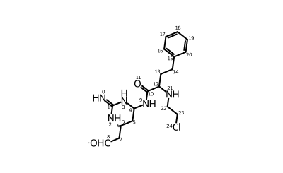 N=C(N)NC(CCC[C]=O)NC(=O)C(CCc1ccccc1)NCCCl